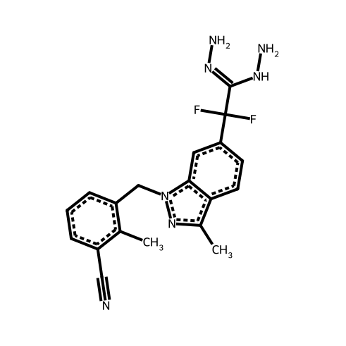 Cc1c(C#N)cccc1Cn1nc(C)c2ccc(C(F)(F)/C(=N/N)NN)cc21